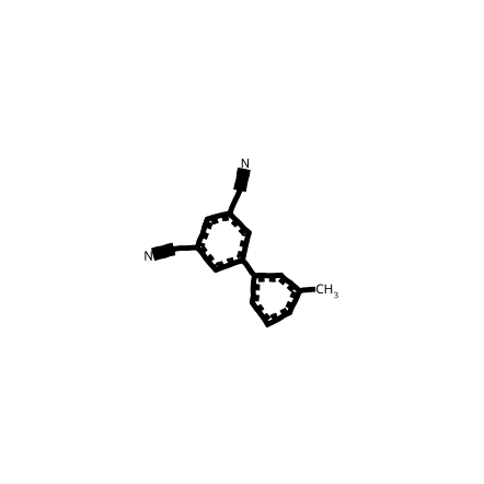 Cc1cccc(-c2cc(C#N)cc(C#N)c2)c1